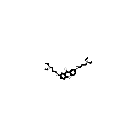 CCN(CC)CCCOc1ccc2oc3ccc(OCCCN(CC)CC)cc3c(=O)c2c1